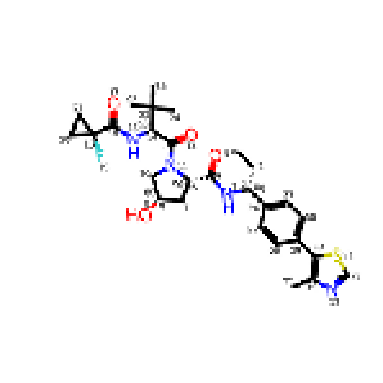 CC[C@@H](NC(=O)[C@@H]1C[C@@H](O)CN1C(=O)[C@@H](NC(=O)C1(F)CC1)C(C)(C)C)c1ccc(-c2scnc2C)cc1